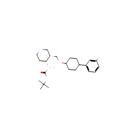 CC(C)(C)OC(=O)N[C@H]1CCNC[C@H]1COC1CCC(c2cccc(F)c2)CC1